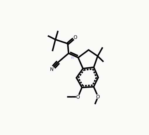 COc1cc2c(cc1OC)C(C)(C)C/C2=C(/C#N)C(=O)C(C)(C)C